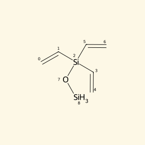 C=C[Si](C=C)(C=C)O[SiH3]